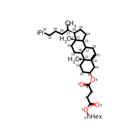 CCCCCCOC(=O)CCC(=O)O[C@H]1CC[C@@]2(C)C(=CCC3C2CC[C@@]2(C)C3CC[C@@H]2C(C)CCCC(C)C)C1